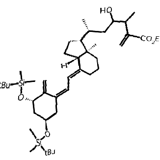 C=C(C(=O)OCC)C(C)C(O)C[C@@H](C)[C@H]1CC[C@H]2/C(=C/C=C3/C[C@@H](O[Si](C)(C)C(C)(C)C)C[C@H](O[Si](C)(C)C(C)(C)C)C3=C)CCC[C@]12C